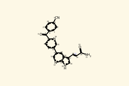 N#Cc1ccc(C(=O)c2ccc(-c3cnc4[nH]cc(/C=C/C(N)=O)c4c3)cn2)cc1